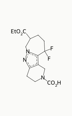 CCOC(=O)C1CCC(F)(F)c2c3c(nn2C1)CCN(C(=O)O)C3